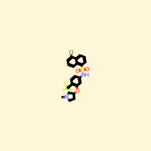 CN1CCC(Oc2cc(NS(=O)(=O)c3cccc4c(Cl)cccc34)ccc2C(F)(F)F)C1